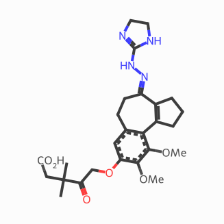 COc1c(OCC(=O)C(C)(C)CC(=O)O)cc2c(c1OC)C1=C(CCC1)C(=NNC1=NCCN1)CC2